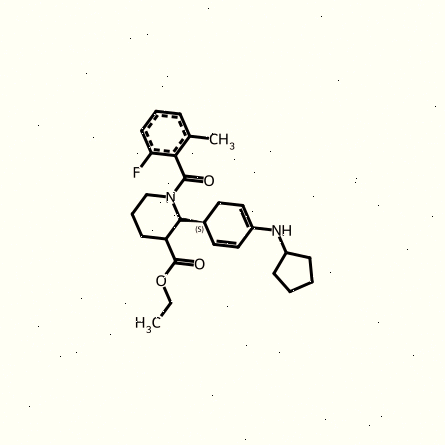 CCOC(=O)C1CCCN(C(=O)c2c(C)cccc2F)C1[C@@H]1C=CC(NC2CCCC2)=CC1